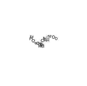 COc1ccc(CN2CCC(c3nc4ccc(C(=O)N5CCN(Cc6ccc(C(F)(F)F)cc6)CC5)cc4[nH]3)CC2)cc1.Cl.Cl